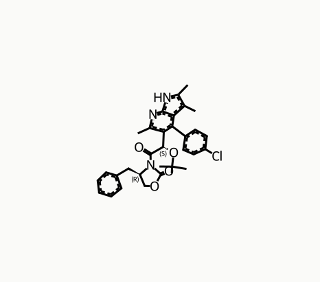 Cc1nc2[nH]c(C)c(C)c2c(-c2ccc(Cl)cc2)c1[C@H](OC(C)(C)C)C(=O)N1C(=O)OC[C@H]1Cc1ccccc1